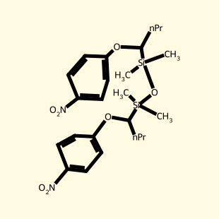 CCCC(Oc1ccc([N+](=O)[O-])cc1)[Si](C)(C)O[Si](C)(C)C(CCC)Oc1ccc([N+](=O)[O-])cc1